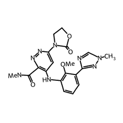 CNC(=O)c1nnc(N2CCOC2=O)cc1Nc1cccc(-c2ncn(C)n2)c1OC